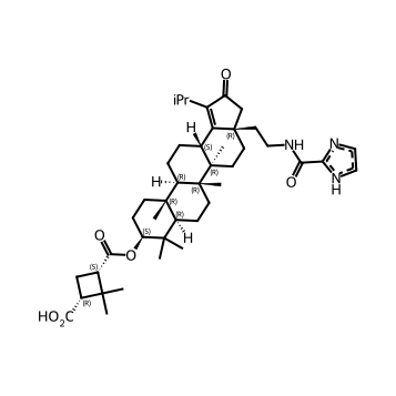 CC(C)C1=C2[C@H]3CC[C@@H]4[C@@]5(C)CC[C@H](OC(=O)[C@H]6C[C@@H](C(=O)O)C6(C)C)C(C)(C)[C@@H]5CC[C@@]4(C)[C@]3(C)CC[C@@]2(CCNC(=O)c2ncc[nH]2)CC1=O